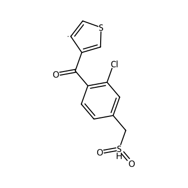 O=C(c1[c]csc1)c1ccc(C[SH](=O)=O)cc1Cl